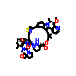 CCn1c(-c2cccnc2[C@H](C)OC)c2c3cc(ccc31)-c1csc(n1)C[C@@]([SiH3])(NC(=O)[C@H](C(C)C)N(C)C(=O)N1CCCC13COC3)C(=O)N1CCC[C@H](N1)C(=O)OCC(C)(C)C2